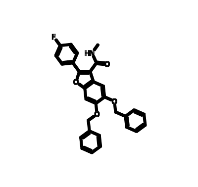 CNC(=O)c1c(-c2ccc(F)cc2)oc2cc(OCc3ccccc3)c(OCc3ccccc3)cc12